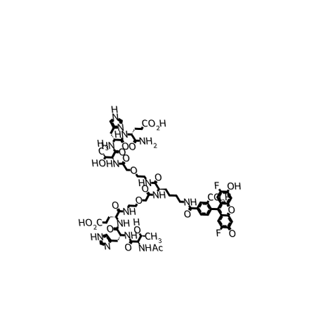 CC(=O)N[C@@H](C(=O)N[C@H](Cc1c[nH]cn1)C(=O)N[C@H](CCC(=O)O)C(=O)NCCOCC(=O)N[C@H](CCCCNC(=O)c1ccc(-c2c3cc(F)c(=O)cc-3oc3cc(O)c(F)cc23)c(C(=O)O)c1)C(=O)NCCOCC(=O)N[C@@H](C(=O)N[C@H](Cc1c[nH]cn1)C(=O)N[C@H](CCC(=O)O)C(N)=O)[C@H](C)O)[C@H](C)O